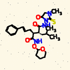 CC(C)C[C@@H](C(=O)NN1C(=O)CN(C)C1=S)[C@H](CC=Cc1ccccc1)C(=O)NOC1CCCCO1